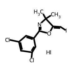 CC1(C)N=C(c2cc(Cl)cc(Cl)c2)OC1=CI.I